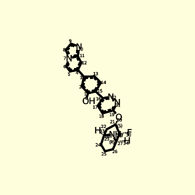 Oc1cc(-c2ccn3ccnc3c2)ccc1-c1ccc(O[C@H]2C[C@@H]3CCC[C@@H](N3)[C@H]2F)nn1